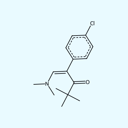 CN(C)C=C(C(=O)C(C)(C)C)c1ccc(Cl)cc1